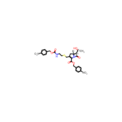 C[C@@H](O)[C@H]1C(=O)N2C(C(=O)OCc3ccc([N+](=O)[O-])cc3)=C(CSCCNC(=O)OCc3ccc([N+](=O)[O-])cc3)C[C@H]12